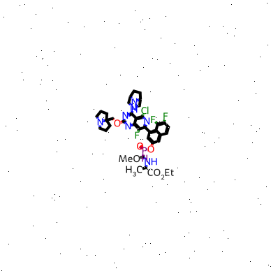 CCOC(=O)[C@H](C)NC(OC)[PH](=O)Oc1cc(-c2nc(Cl)c3c(N4CC5CCC(C4)N5)nc(OCC45CCCN4CCC5)nc3c2F)c2c(F)c(F)ccc2c1